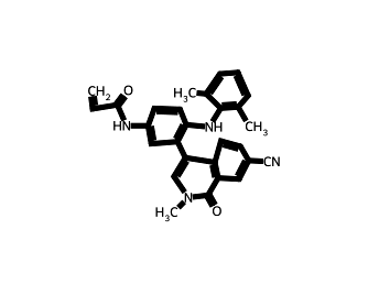 C=CC(=O)Nc1ccc(Nc2c(C)cccc2C)c(-c2cn(C)c(=O)c3cc(C#N)ccc23)c1